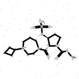 CC(C)(C)OC(=O)N1CC[C@H](OS(C)(=O)=O)[C@H]1C(=O)N1CCCN(C2CCC2)CC1